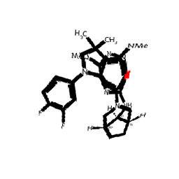 CNc1nc(N[C@@H]2[C@@H]3CC[C@H]2CN(c2cnnc(OC)c2)C3)nc2c1C(C)(C)CN2c1ccc(F)c(F)c1